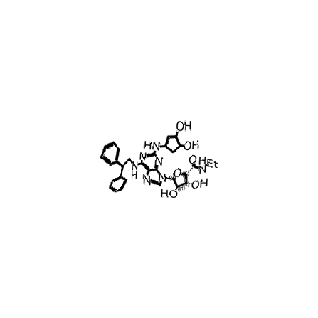 CCNC(=O)[C@H]1O[C@H](n2cnc3c(NCC(c4ccccc4)c4ccccc4)nc(NC4CC(O)C(O)C4)nc32)[C@H](O)[C@H]1O